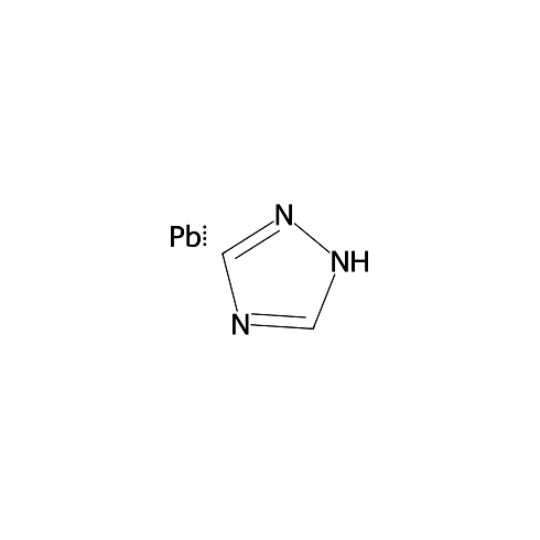 [Pb].c1nc[nH]n1